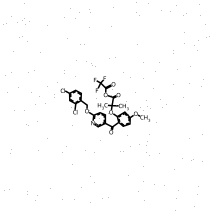 COc1ccc(C(=O)c2ccc(OCc3ccc(Cl)cc3Cl)nc2)c(OC(C)(C)C(=O)OC(=O)C(F)(F)F)c1